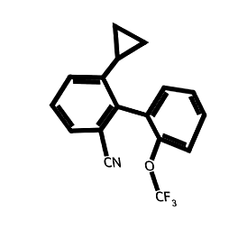 N#Cc1cccc(C2CC2)c1-c1ccccc1OC(F)(F)F